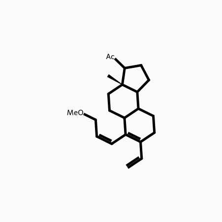 C=CC1=C(/C=C\COC)C2CC[C@]3(C)C(C(C)=O)CCC3C2CC1